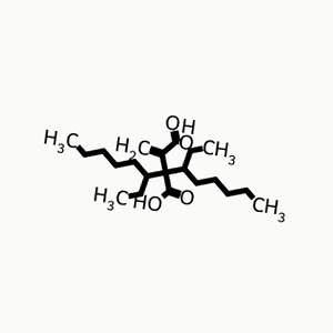 C=C(C(=O)O)C(C(=O)O)(C(CC)CCCCC)C(CC)CCCCC